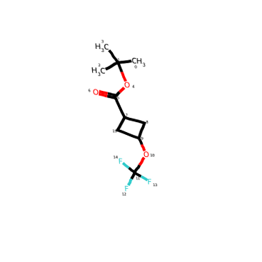 CC(C)(C)OC(=O)C1CC(OC(F)(F)F)C1